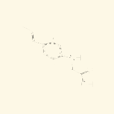 CC=Cc1ccc(NCC(=O)O)cc1